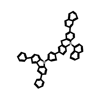 c1ccc(-c2ccc3c(c2)c2cc(-c4ccccc4)ccc2n3-c2ccc(-c3ccc4c(c3)Cc3cc(-c5ccc6ccccc6c5)ccc3N4c3cccc4ccccc34)cc2)cc1